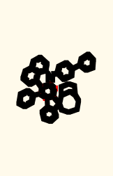 c1ccc(-c2ccc(N(c3cccc(-c4ccccc4)c3)c3cccc4cccc(-c5ccc6c(c5)-c5ccccc5C65CCCCC6CCCC5C6)c34)cc2)cc1